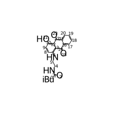 CCC(C)C(=O)NCCNc1ccc(O)c2c1C(=O)c1ccccc1C2=O